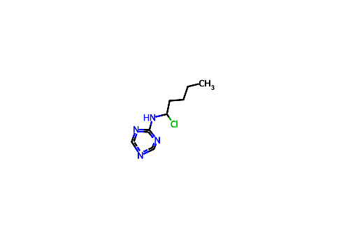 CCCCC(Cl)Nc1ncncn1